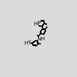 CC1=C(c2cc(C(C)Nc3cc(S)ccc3C)ccc2C)CPC=C1